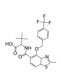 CC1=NC2C(OCc3ccc(C(F)(F)F)cc3)=C(C(=O)NC(C(=O)O)C(C)(C)C)C=CC2S1